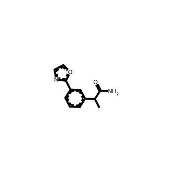 CC(C(N)=O)c1cccc(-c2ncco2)c1